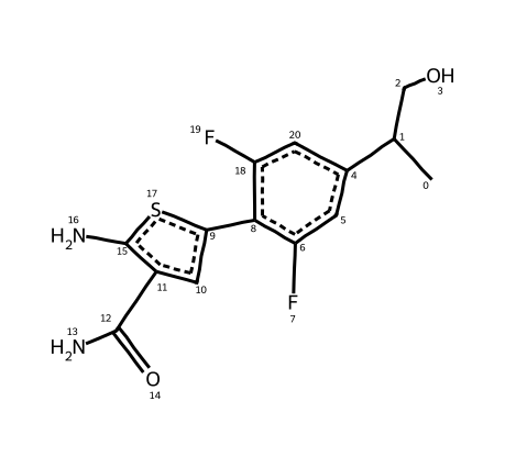 CC(CO)c1cc(F)c(-c2cc(C(N)=O)c(N)s2)c(F)c1